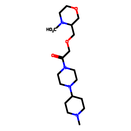 CN1CCC(N2CCN(C(=O)COCC3COCCN3C(=O)O)CC2)CC1